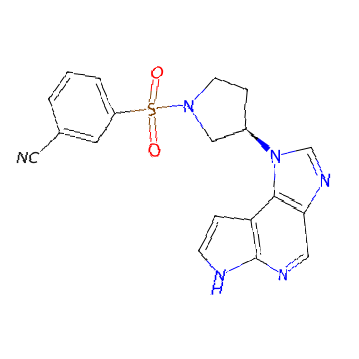 N#Cc1cccc(S(=O)(=O)N2CC[C@@H](n3cnc4cnc5[nH]ccc5c43)C2)c1